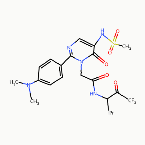 CC(C)C(NC(=O)Cn1c(-c2ccc(N(C)C)cc2)ncc(NS(C)(=O)=O)c1=O)C(=O)C(F)(F)F